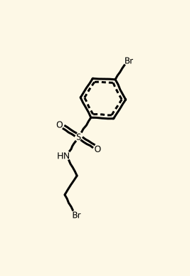 O=S(=O)(NCCBr)c1ccc(Br)cc1